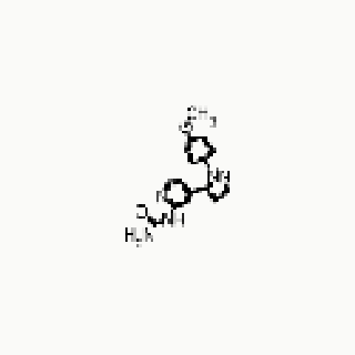 COc1ccc(-n2nccc2-c2ccnc(NC(N)=O)c2)cc1